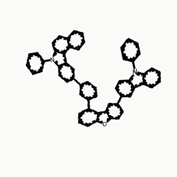 c1ccc(-n2c3ccccc3c3cc(-c4ccc5oc6cccc(-c7cccc(-c8ccc9c(c8)c8c%10ccccc%10ccc8n9-c8ccccc8)c7)c6c5c4)ccc32)cc1